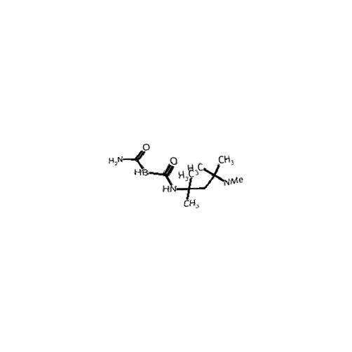 CNC(C)(C)CC(C)(C)NC(=O)BC(N)=O